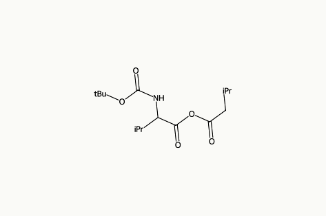 CC(C)CC(=O)OC(=O)C(NC(=O)OC(C)(C)C)C(C)C